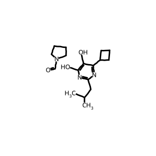 CC(C)Cc1nc(O)c(O)c(C2CCC2)n1.O=CN1CCCC1